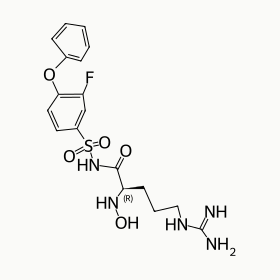 N=C(N)NCCC[C@@H](NO)C(=O)NS(=O)(=O)c1ccc(Oc2ccccc2)c(F)c1